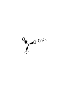 O=[Te]([O-])[O-].[Co+2]